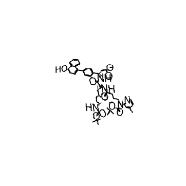 COC(=O)C[C@H](NC(=O)[C@H](CCCCNC(=O)OC(C)(C)C)NC(=O)CCCN(C(=O)OC(C)(C)C)c1cc(C)ccn1)c1ccc(-c2ccc(O)c3ccccc23)cc1